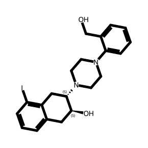 OCc1ccccc1N1CCN([C@H]2Cc3c(I)cccc3C[C@@H]2O)CC1